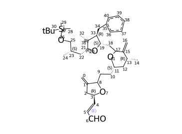 C=C1C[C@H](/C=C/C=O)OC1CC[C@H]1C[C@@H](C)C(=C)C(C[C@@H]2O[C@H](C[C@H](C)CO[Si](C)(C)C(C)(C)C)[C@H](C)[C@H]2Cc2ccccc2)O1